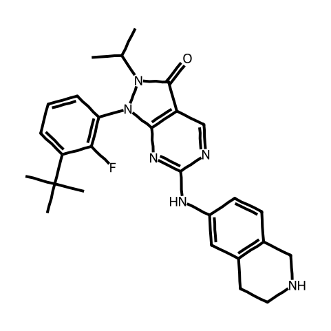 CC(C)n1c(=O)c2cnc(Nc3ccc4c(c3)CCNC4)nc2n1-c1cccc(C(C)(C)C)c1F